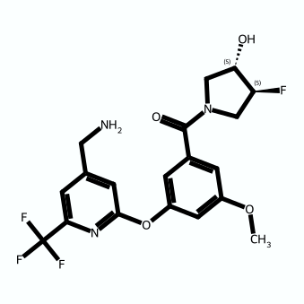 COc1cc(Oc2cc(CN)cc(C(F)(F)F)n2)cc(C(=O)N2C[C@H](O)[C@@H](F)C2)c1